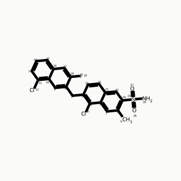 Cc1cc2c(Cl)c(Cc3cc4c(Cl)cccc4cc3F)ccc2cc1S(N)(=O)=O